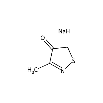 CC1=NSCC1=O.[NaH]